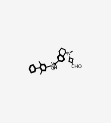 Cc1cc(-c2nc(-c3ccc4c(c3)CCCC4N(C)[C@H]3C[C@H](C=O)C3)no2)cc(C)c1-c1ccccc1